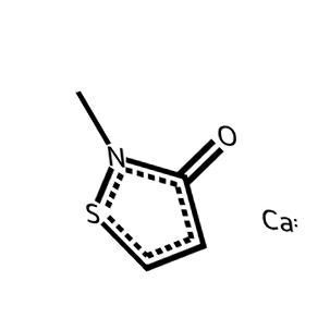 Cn1sccc1=O.[Ca]